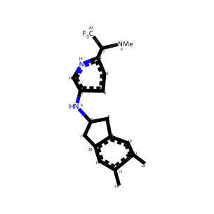 CNC(c1ccc(NC2Cc3cc(C)c(C)cc3C2)cn1)C(F)(F)F